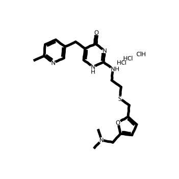 Cc1ccc(Cc2c[nH]c(NCCSCc3ccc(CN(C)C)o3)nc2=O)cn1.Cl.Cl.Cl